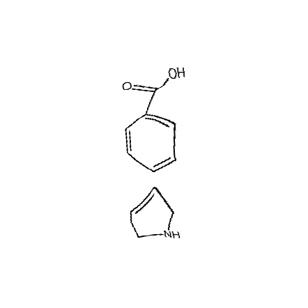 C1=CCNC1.O=C(O)c1ccccc1